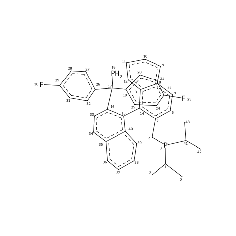 CC(C)P(Cc1ccc2ccccc2c1-c1c(C(P)(c2ccc(F)cc2)c2ccc(F)cc2)ccc2ccccc12)C(C)C